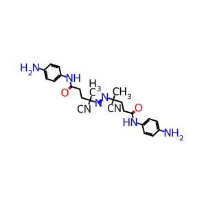 CC(C#N)(CCC(=O)Nc1ccc(N)cc1)N=NC(C)(C#N)CCC(=O)Nc1ccc(N)cc1